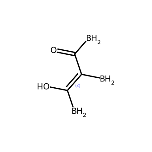 BC(=O)/C(B)=C(/B)O